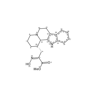 COC(=O)C(C[C@@H]1CCCN2CCc3c([nH]c4ccccc34)C12)=NO